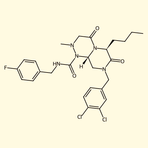 CCCC[C@H]1C(=O)N(Cc2ccc(Cl)c(Cl)c2)C[C@H]2N1C(=O)CN(C)N2C(=O)NCc1ccc(F)cc1